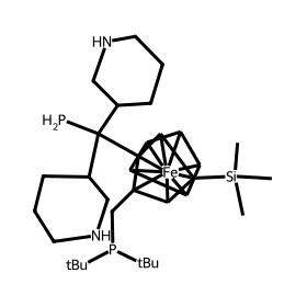 CC(C)(C)P(C[C]12[CH]3[C]4([Si](C)(C)C)[CH]5[C]1(C(P)(C1CCCNC1)C1CCCNC1)[Fe]35241678[CH]2[CH]1[CH]6[CH]7[CH]28)C(C)(C)C